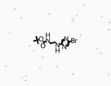 CC(C)(C)OC(=O)NCCNc1cnc(Br)cn1